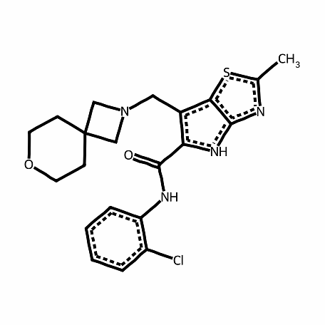 Cc1nc2[nH]c(C(=O)Nc3ccccc3Cl)c(CN3CC4(CCOCC4)C3)c2s1